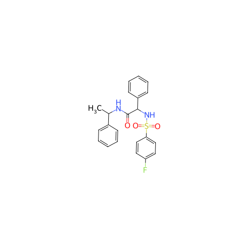 CC(NC(=O)C(NS(=O)(=O)c1ccc(F)cc1)c1ccccc1)c1ccccc1